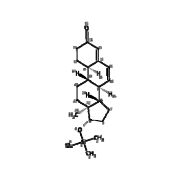 CC(C)(C)[Si](C)(C)O[C@H]1CC[C@H]2[C@@H]3C=CC4=CC(=O)CC[C@@H]4[C@H]3CC[C@]12C